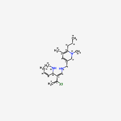 C=C(Cl)/C(=C/NCC1=CC(C)=C(CCC)N(C)C1)C(/C=C\C)NC